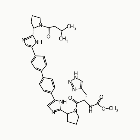 COC(=O)N[C@@H](Cc1c[nH]nn1)C(=O)N1CCCC1c1ncc(-c2ccc(-c3ccc(-c4cnc([C@@H]5CCCN5C(=O)CC(C)C)[nH]4)cc3)cc2)[nH]1